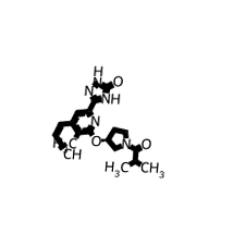 C#C/C=C\c1cc(-c2n[nH]c(=O)[nH]2)nc(O[C@H]2CCN(C(=O)C(C)C)C2)c1C